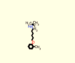 Cc1ccccc1OCCCCCCNC(C)(C)C